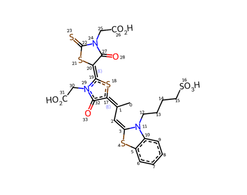 C/C(C=C1Sc2ccccc2N1CCCCS(=O)(=O)O)=c1\s/c(=C2/SC(=S)N(CC(=O)O)C2=O)n(CC(=O)O)c1=O